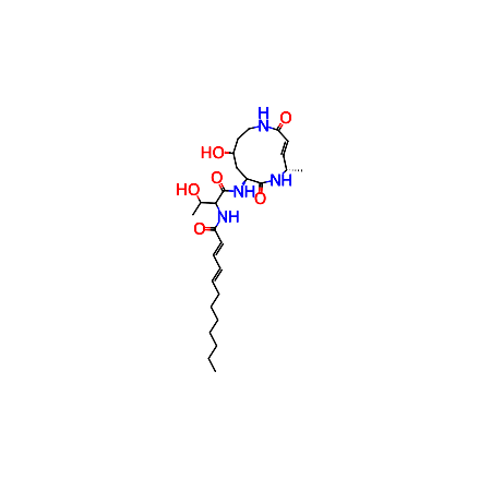 CCCCCCC/C=C/C=C/C(=O)NC(C(=O)N[C@H]1C[C@@H](O)CCNC(=O)/C=C/[C@H](C)NC1=O)C(C)O